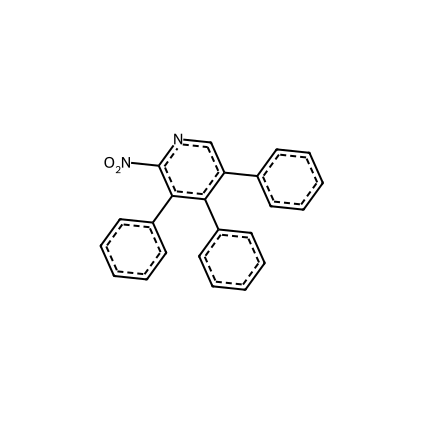 O=[N+]([O-])c1ncc(-c2ccccc2)c(-c2ccccc2)c1-c1ccccc1